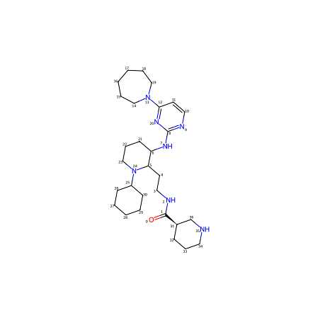 O=C(NCCC1C(Nc2nccc(N3CCCCCC3)n2)CCCN1C1CCCCC1)[C@@H]1CCCNC1